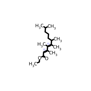 CCOC(=O)/C=C(C)/C(C)=C(\C)C(C)CCCC(C)C